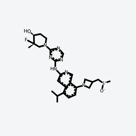 CC(C)c1ccc(N2CC(C[S+](C)[O-])C2)c2cnc(Nc3ncnc(N4CC[C@H](O)[C@@](C)(F)C4)n3)cc12